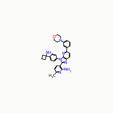 Cc1ccc(-c2nc3ccc(-c4cccc(N5CCOCC5)c4)nc3n2-c2ccc(C3(N)CCC3)cc2)c(N)n1